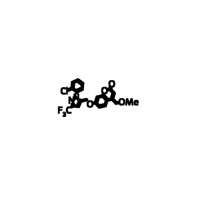 COCc1cc(=O)oc2cc(OCc3cc(C(F)(F)F)nn3-c3ccccc3Cl)ccc12